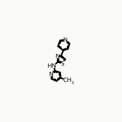 Cc1ccnc(Nc2nc(-c3ccncc3)cs2)c1